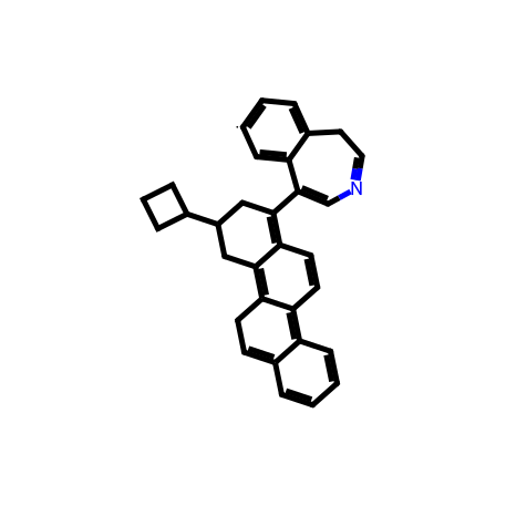 [c]1ccc2c(c1)C(C1=c3ccc4c(c3CC(C3CCC3)C1)CC=c1ccccc1=4)=CN=CC2